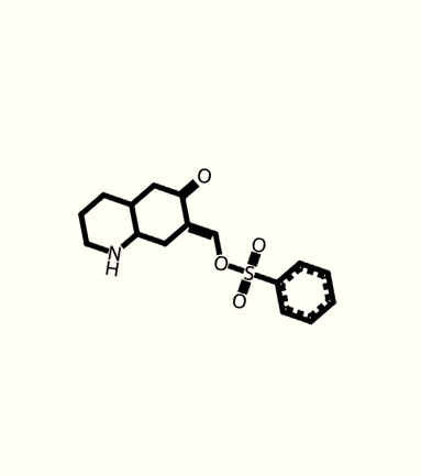 O=C1CC2CCCNC2CC1=COS(=O)(=O)c1ccccc1